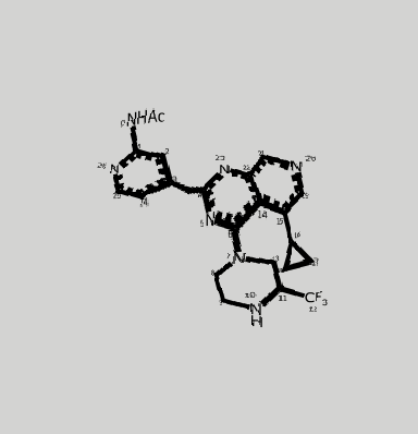 CC(=O)Nc1cc(-c2nc(N3CCNC(C(F)(F)F)C3)c3c(C4CC4)cncc3n2)ccn1